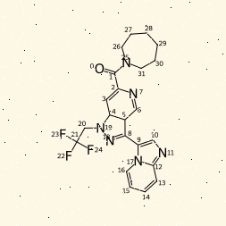 O=C(C1=CC2C(C=N1)C(c1cnc3ccccn13)=NN2CC(F)(F)F)N1CCCCCC1